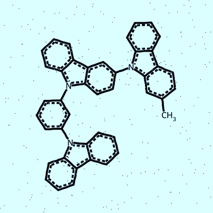 Cc1ccc2c3ccccc3n(-c3ccc4c(c3)c3ccccc3n4-c3cccc(-n4c5ccccc5c5ccccc54)c3)c2c1